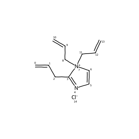 C=CCC1=NC=C[N+]1(CC=C)CC=C.[Cl-]